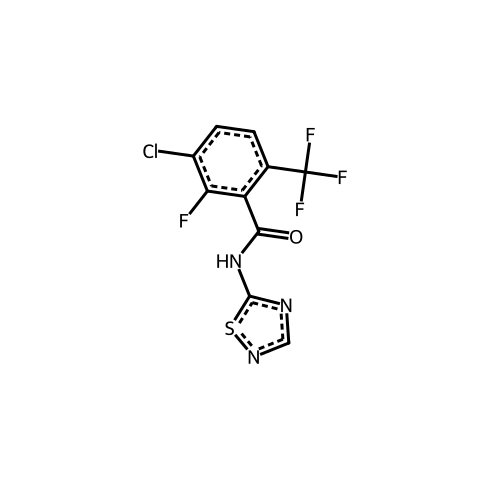 O=C(Nc1ncns1)c1c(C(F)(F)F)ccc(Cl)c1F